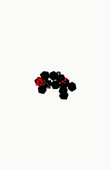 c1ccc(-c2ccccc2-c2nc(-c3ccc(-n4c5cc6ccccc6cc5c5c(-c6ccccc6)cccc54)c(-c4cccc5oc6ccccc6c45)c3)nc(-c3ccccc3-c3ccccc3)n2)cc1